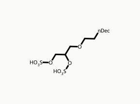 CCCCCCCCCCCCOCC(COS(=O)(=O)O)OS(=O)(=O)O